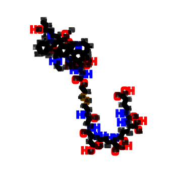 CCNCCc1c(C(CCC[C@@](C)(O)CC)(C(=O)OC)c2cc3c(cc2OC)N(C)[C@H]2[C@@](O)(C(=O)NNC(=O)OCCSSCCNC(=O)CNC(=O)[C@H](CC(=O)O)NC(=O)CC[C@H](NC(=O)CC[C@H](NC(=O)NCCCC(=O)O)C(=O)O)C(=O)O)[C@H](O)[C@]4(CC)C=CCN5CC[C@]32C54)[nH]c2ccccc12